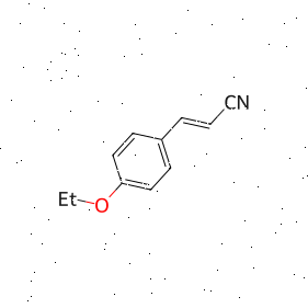 CCOc1ccc(C=CC#N)cc1